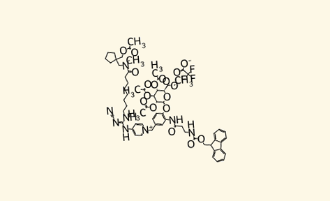 COC(=O)[C@H]1O[C@@H](Oc2ccc(C[n+]3ccc(N/C(=N/C#N)NCCCCCCCC(=O)N(C)CC4(COC(C)=O)CCCC4)cc3)cc2NC(=O)CCNC(=O)OCC2c3ccccc3-c3ccccc32)[C@H](OC(C)=O)[C@@H](OC(C)=O)[C@@H]1OC(C)=O.O=C([O-])C(F)(F)F